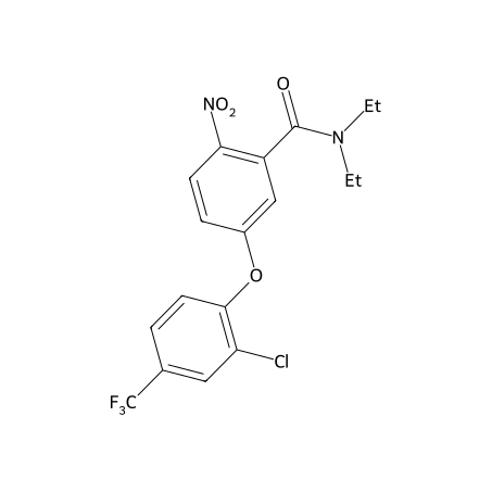 CCN(CC)C(=O)c1cc(Oc2ccc(C(F)(F)F)cc2Cl)ccc1[N+](=O)[O-]